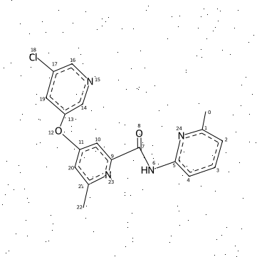 Cc1cccc(NC(=O)c2cc(Oc3cncc(Cl)c3)cc(C)n2)n1